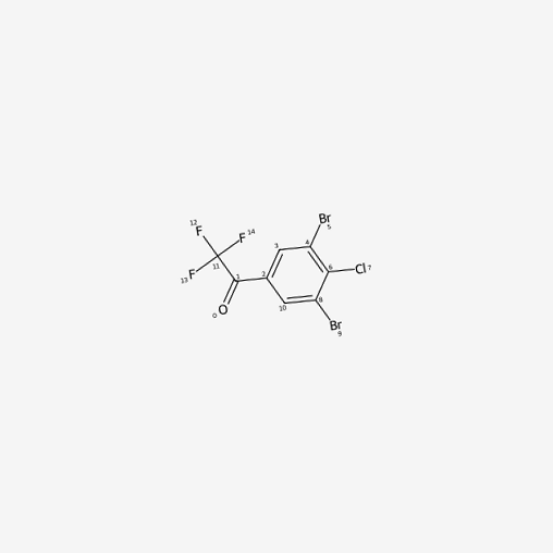 O=C(c1cc(Br)c(Cl)c(Br)c1)C(F)(F)F